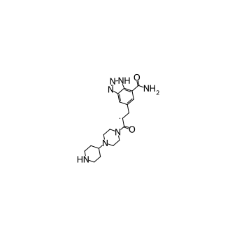 NC(=O)c1cc(C[CH]C(=O)N2CCN(C3CCNCC3)CC2)cc2nn[nH]c12